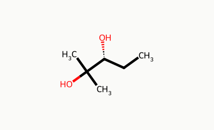 CC[C@@H](O)C(C)(C)O